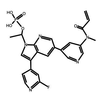 C=CC(=O)N(C)c1cncc(-c2cnc3c(c2)c(-c2ccnc(F)c2)cn3C(C)OP(=O)(O)O)c1